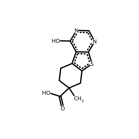 CC1(C(=O)O)CCc2c(sc3ncnc(O)c23)C1